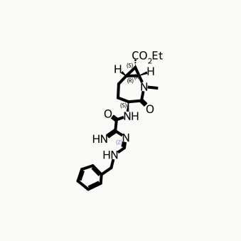 CCOC(=O)[C@H]1[C@H]2CC[C@H](NC(=O)C(=N)/N=C\NCc3ccccc3)C(=O)N(C)[C@H]21